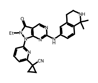 CCn1c(=O)c2cnc(Nc3ccc4c(c3)CCNC4(C)C)nc2n1-c1cccc(C2(C#N)CC2)n1